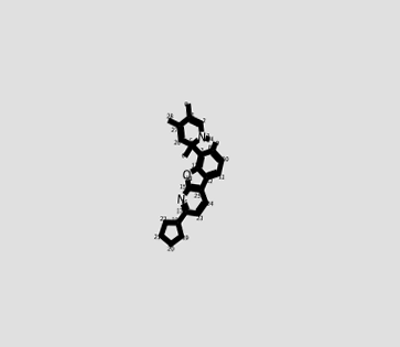 CC1=CN(C)C(C)(c2c(C)ccc3c2oc2nc(C4CCCC4)ccc23)C=C1C